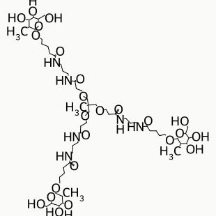 CC1C(OCCCCC(=O)NCCCNC(=O)CCOCC(C)(COCCC(=O)NCCCNC(=O)CCCCOC2OC(CO)C(O)C(O)C2C)COCCC(=O)NCCCNC(=O)CCCCOC2OC(CO)C(O)C(O)C2C)OC(CO)C(O)C1O